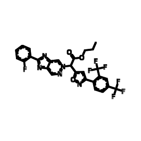 CCCOC(=O)C(c1cc(-c2ccc(C(F)(F)F)cc2C(F)(F)F)no1)n1cc2nc(-c3ccccc3F)nc-2cn1